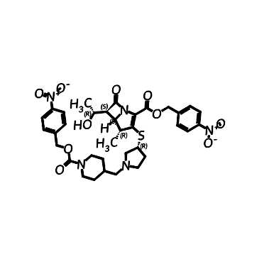 C[C@@H](O)[C@H]1C(=O)N2C(C(=O)OCc3ccc([N+](=O)[O-])cc3)=C(S[C@@H]3CCN(CC4CCN(C(=O)OCc5ccc([N+](=O)[O-])cc5)CC4)C3)[C@H](C)[C@H]12